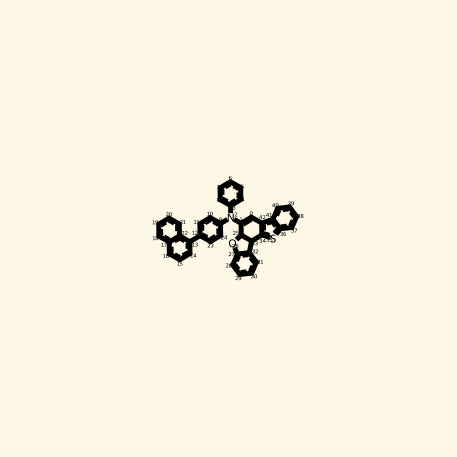 C1=C(N(c2ccccc2)c2ccc(-c3cccc4ccccc34)cc2)C2Oc3ccccc3C2c2sc3ccccc3c21